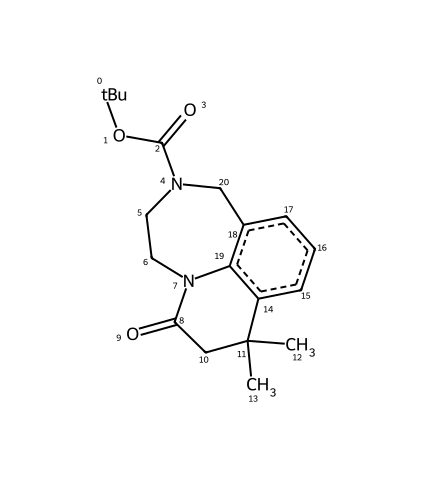 CC(C)(C)OC(=O)N1CCN2C(=O)CC(C)(C)c3cccc(c32)C1